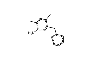 Cc1cc(C)c(Cc2ccccc2)cc1N